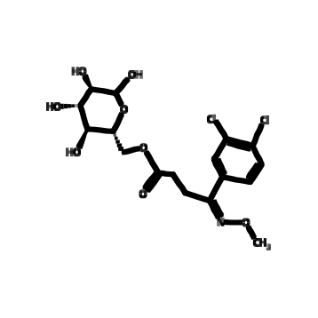 CO/N=C(/CCC(=O)OC[C@H]1OC(O)[C@H](O)[C@@H](O)[C@@H]1O)c1ccc(Cl)c(Cl)c1